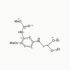 CCOC(CNc1ccc(OC)c(NC(=O)OC)c1)OCC